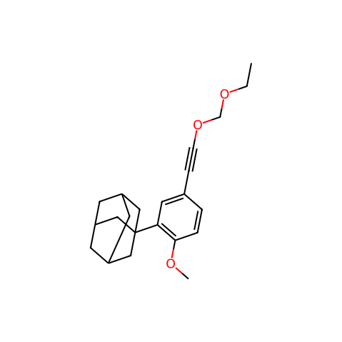 CCOCOC#Cc1ccc(OC)c(C23CC4CC(CC(C4)C2)C3)c1